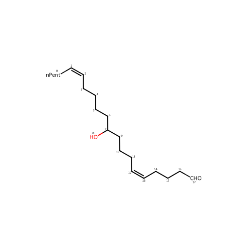 CCCCC/C=C\CCCCC(O)CCC/C=C\CCCC=O